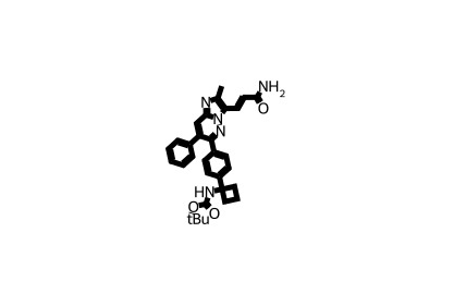 Cc1nc2cc(-c3ccccc3)c(-c3ccc(C4(NC(=O)OC(C)(C)C)CCC4)cc3)nn2c1/C=C/C(N)=O